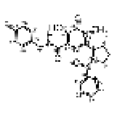 Cn1c(C2CCCN2C(=O)c2ccccn2)nc(C(=O)NCc2ccc(F)cc2)c(O)c1=O